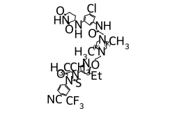 CCc1cc(N2C(=S)N(c3ccc(C#N)c(C(F)(F)F)c3)C(=O)C2(C)C)cnc1OCCN1C[C@@H](C)N(CC(=O)Nc2cc(Cl)cc(NC3CCC(=O)NC3=O)c2)C[C@H]1C